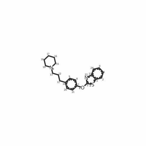 c1ccc2sc(Oc3ccc(CCCN4CCCCC4)cc3)nc2c1